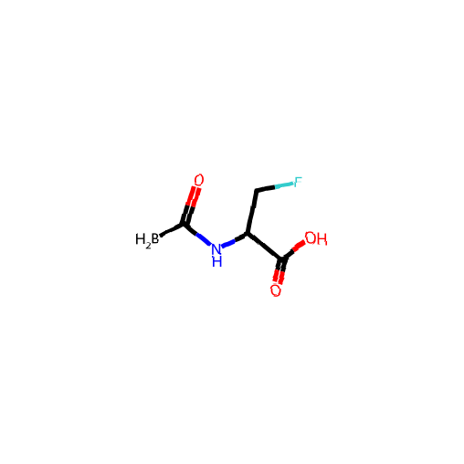 BC(=O)NC(CF)C(=O)O